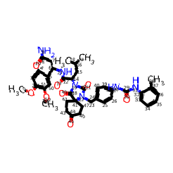 COc1ccc([C@@H](CC(N)=O)NC(=O)C(CC(C)C)N2C(=O)N(Cc3ccc(NC(=O)Nc4ccccc4C)cc3)C3(CCC(=O)CC3)C2=O)cc1OC